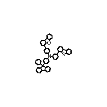 c1ccc(C2(c3ccc(N(c4ccc(-c5cccc6c5oc5ccccc56)cc4)c4cccc(-c5cccc6c5sc5ccccc56)c4)cc3)c3ccccc3-c3ccccc32)cc1